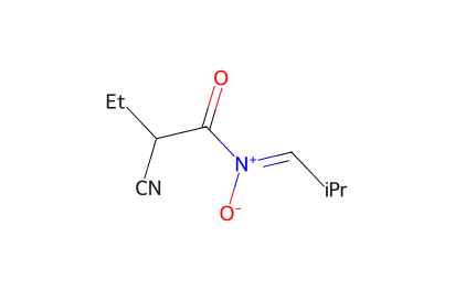 CCC(C#N)C(=O)[N+]([O-])=CC(C)C